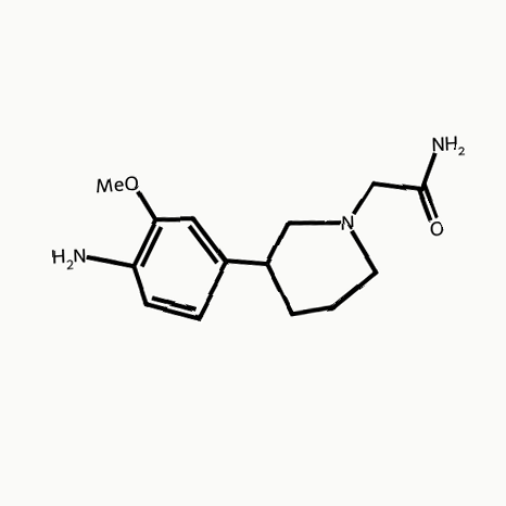 COc1cc(C2CCCN(CC(N)=O)C2)ccc1N